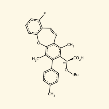 Cc1ccc(-c2c(C)c3c(c(C)c2[C@H](OC(C)(C)C)C(=O)O)N=Cc2c(F)cccc2O3)cc1